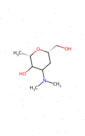 C[C@@H]1O[C@H](CO)CC(N(C)C)C1O